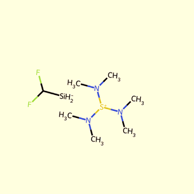 CN(C)[S+](N(C)C)N(C)C.FC(F)[SiH2-]